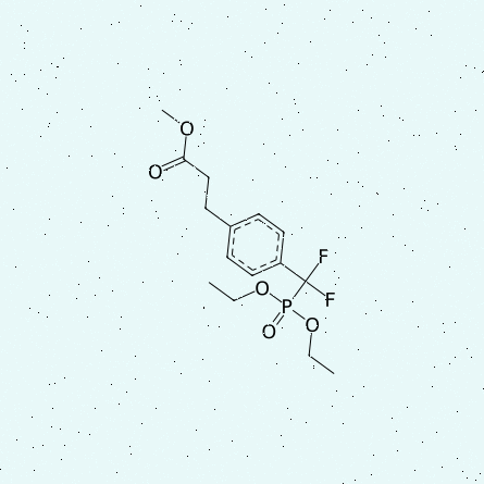 CCOP(=O)(OCC)C(F)(F)c1ccc(CCC(=O)OC)cc1